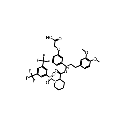 COc1ccc(CC[C@@H](OC(=O)C2CCCCN2S(=O)(=O)c2cc(C(F)(F)F)cc(C(F)(F)F)c2)c2cccc(OCC(=O)O)c2)cc1OC